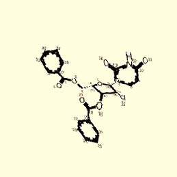 O=C(OC[C@@H]1O[C@H](n2ccc(=O)[nH]c2=O)[C@H](Cl)C1OC(=O)c1ccccc1)c1ccccc1